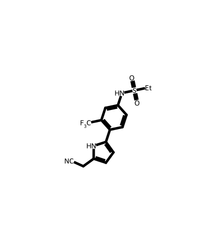 CCS(=O)(=O)Nc1ccc(-c2ccc(CC#N)[nH]2)c(C(F)(F)F)c1